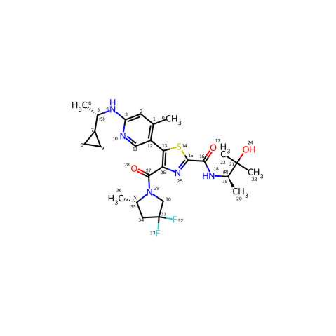 Cc1cc(N[C@@H](C)C2CC2)ncc1-c1sc(C(=O)N[C@H](C)C(C)(C)O)nc1C(=O)N1CC(F)(F)C[C@@H]1C